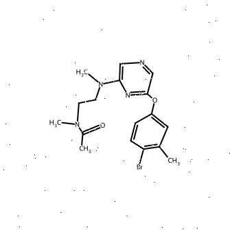 CC(=O)N(C)CCN(C)c1cncc(Oc2ccc(Br)c(C)c2)n1